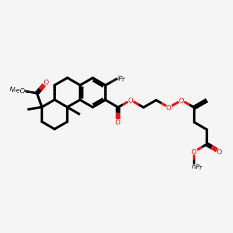 C=C(CCC(=O)OCCC)OOCCOC(=O)c1cc2c(cc1C(C)C)CCC1C(C)(C(=O)OC)CCCC21C